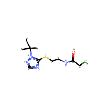 CC(C)(C)n1ncnc1SCCNC(=O)CCl